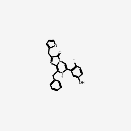 O=c1c(Cc2ccco2)nc2c(Cc3ccccc3)[nH]c(-c3cc(O)ccc3F)cn1-2